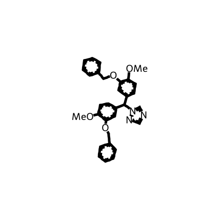 COc1ccc(C(c2ccc(OC)c(OCc3ccccc3)c2)n2cncn2)cc1OCc1ccccc1